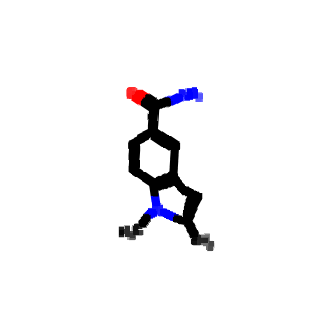 Cc1cc2cc(C(N)=O)ccc2n1C